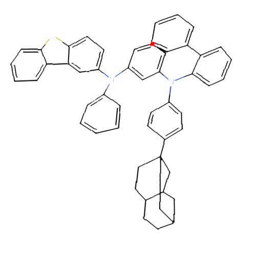 c1ccc(-c2ccccc2N(c2ccc(C34CCC5CCC(CC5C3)C4)cc2)c2cccc(N(c3ccccc3)c3ccc4sc5ccccc5c4c3)c2)cc1